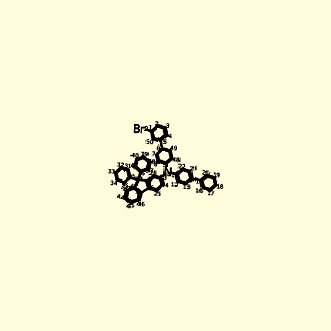 Brc1cccc(-c2ccc(N(c3ccc(-c4ccccc4)cc3)c3ccc4c(c3)C(c3ccccc3)(c3ccccc3)c3ccccc3-4)cc2)c1